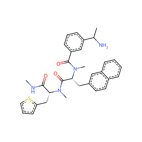 CNC(=O)[C@@H](Cc1cccs1)N(C)C(=O)[C@@H](Cc1ccc2ccccc2c1)N(C)C(=O)c1cccc(C(C)N)c1